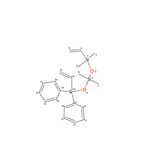 C=C[Si](C)(C)O[Si](C)(C)O[Si](C=C)(c1ccccc1)c1ccccc1